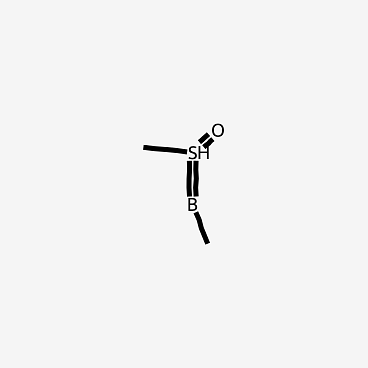 CB=[SH](C)=O